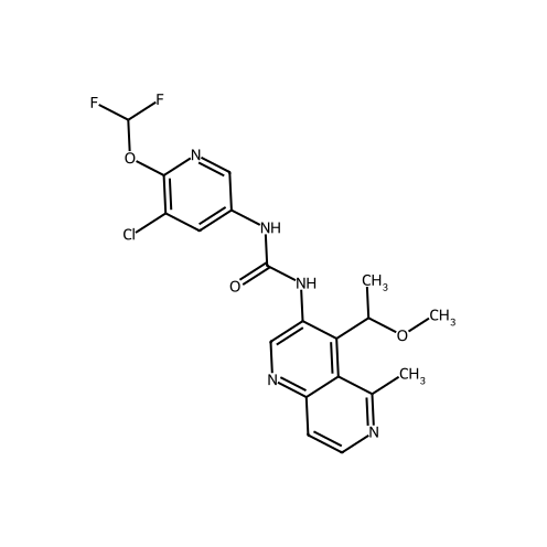 COC(C)c1c(NC(=O)Nc2cnc(OC(F)F)c(Cl)c2)cnc2ccnc(C)c12